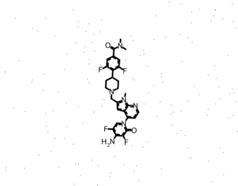 CN(C)C(=O)c1cc(F)c(C2CCN(Cc3cc4c(-n5cc(F)c(N)c(F)c5=O)ccnc4n3C)CC2)c(F)c1